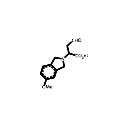 CCOC(=O)C(CC=O)N1Cc2ccc(OC)cc2C1